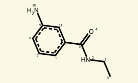 CCNC(=O)c1cccc(N)c1